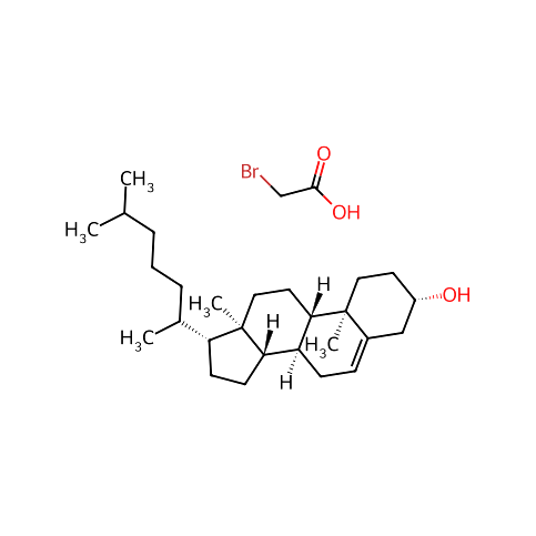 CC(C)CCCC(C)[C@H]1CC[C@H]2[C@@H]3CC=C4C[C@@H](O)CC[C@]4(C)[C@H]3CC[C@]12C.O=C(O)CBr